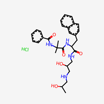 CC(O)CNCC(O)CNC(=O)C(Cc1ccc2ccccc2c1)NC(=O)C(C)(C)NC(=O)c1ccccc1.Cl